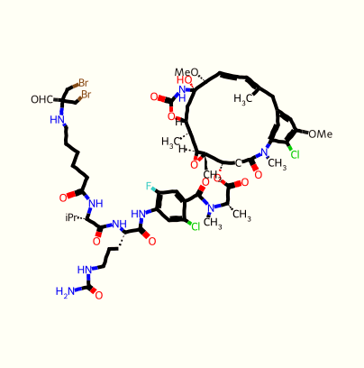 COc1cc2cc(c1Cl)N(C)C(=O)C[C@H](OC(=O)[C@H](C)N(C)C(=O)c1cc(F)c(NC(=O)[C@H](CCCNC(N)=O)NC(=O)[C@@H](NC(=O)CCCCCNC(C=O)(CBr)CBr)C(C)C)cc1Cl)[C@]1(C)O[C@H]1[C@H](C)[C@@H]1C[C@@](O)(NC(=O)O1)[C@H](OC)/C=C/C=C(\C)C2